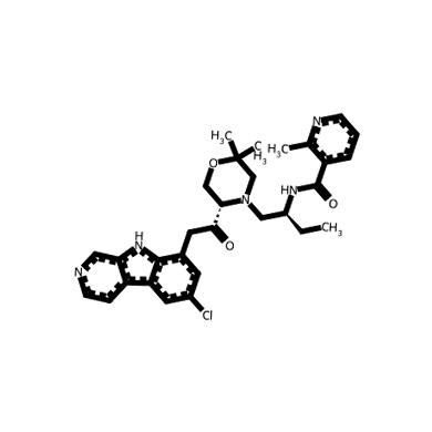 CC[C@@H](CN1CC(C)(C)OC[C@H]1C(=O)Cc1cc(Cl)cc2c1[nH]c1cnccc12)NC(=O)c1cccnc1C